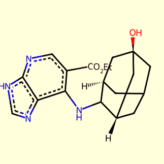 CCOC(=O)c1cnc2[nH]cnc2c1NC1[C@@H]2CC3C[C@H]1C[C@@](O)(C3)C2